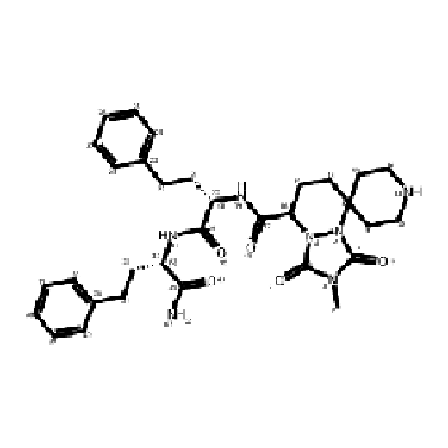 Cn1c(=O)n2n(c1=O)C1(CCNCC1)CCC2C(=O)N[C@@H](CCc1ccccc1)C(=O)N[C@@H](CCc1ccccc1)C(N)=O